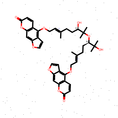 C/C(=C\COc1c2ccoc2cc2oc(=O)ccc12)CC[C@@H](O)C(C)(C)O[C@H](CC/C(C)=C/COc1c2ccoc2cc2oc(=O)ccc12)C(C)(C)O